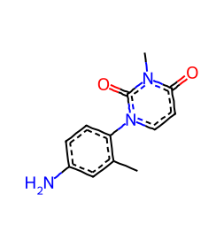 Cc1cc(N)ccc1-n1ccc(=O)n(C)c1=O